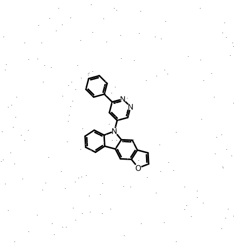 c1ccc(-c2cc(-n3c4ccccc4c4cc5occc5cc43)cnn2)cc1